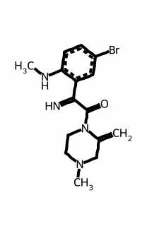 C=C1CN(C)CCN1C(=O)C(=N)c1cc(Br)ccc1NC